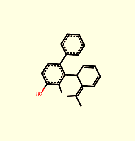 CC(C)=C1C=CC=CC1c1c(-c2ccccc2)ccc(O)c1C